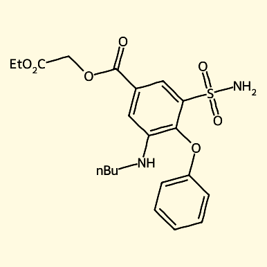 CCCCNc1cc(C(=O)OCC(=O)OCC)cc(S(N)(=O)=O)c1Oc1ccccc1